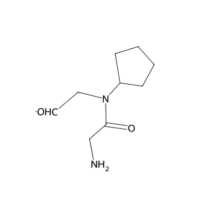 NCC(=O)N(C[C]=O)C1CCCC1